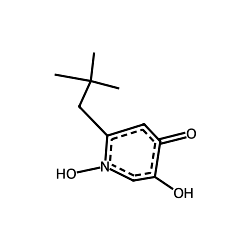 CC(C)(C)Cc1cc(=O)c(O)cn1O